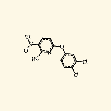 CC[S+]([O-])c1ccc(Oc2ccc(Cl)c(Cl)c2)nc1C#N